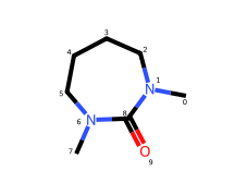 CN1CCCCN(C)C1=O